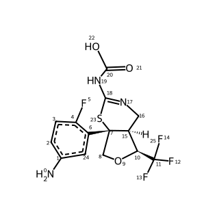 Nc1ccc(F)c([C@]23CO[C@H](C(F)(F)F)[C@@H]2CN=C(NC(=O)O)S3)c1